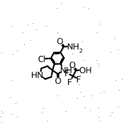 NC(=O)c1cc(Cl)c2c(c1)NC(=O)C21CCNCC1.O=C(O)C(F)(F)F